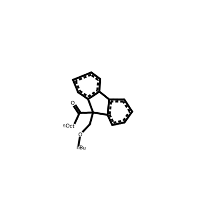 CCCCCCCCC(=O)C1(COCCCC)c2ccccc2-c2ccccc21